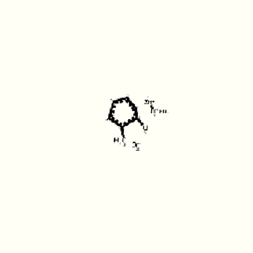 CCCC[CH2][Zn+].Cc1ccccc1Cl.[Br-]